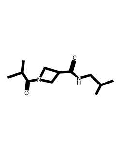 CC(C)CNC(=O)C1CN(C(=O)C(C)C)C1